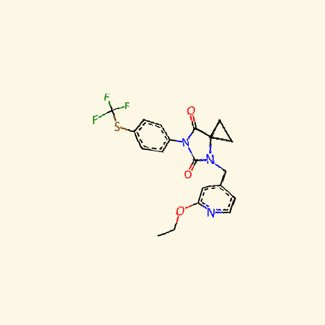 CCOc1cc(CN2C(=O)N(c3ccc(SC(F)(F)F)cc3)C(=O)C23CC3)ccn1